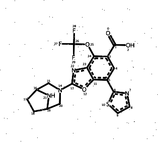 O=C(O)c1cc(-c2nccs2)c2oc(N3CC4CCC(C3)N4)nc2c1OC(F)(F)F